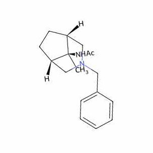 CC(=O)N[C@]1(C)[C@@H]2CC[C@H]1CN(Cc1ccccc1)C2